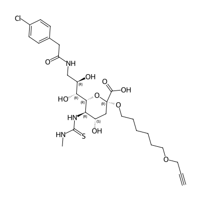 C#CCOCCCCCCO[C@]1(C(=O)O)C[C@H](O)[C@@H](NC(=S)NC)[C@H]([C@H](O)[C@H](O)CNC(=O)Cc2ccc(Cl)cc2)O1